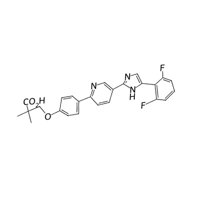 CC(C)(COc1ccc(-c2ccc(-c3ncc(-c4c(F)cccc4F)[nH]3)cn2)cc1)C(=O)O